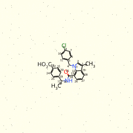 Cc1cn(Cc2ccc(Cl)cc2)c2c(C(=O)N[C@@H](C)c3ccc(C(=O)O)cc3)cccc12